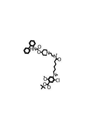 COc1cc(N(C)CCCCCC(=O)N(C)CCN2CCC(OC(=O)Nc3ccccc3-c3ccccc3)CC2)c(Cl)cc1C(=O)OC(C)(C)C